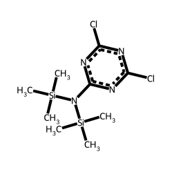 C[Si](C)(C)N(c1nc(Cl)nc(Cl)n1)[Si](C)(C)C